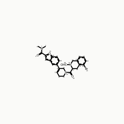 CN(C)C(=O)c1cc2cc(C3=CCCN(C(=O)C4Cc5c(Br)cccc5CN4C=O)C3)ccc2o1